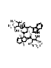 CC(O)C(NC(=O)C(Cc1c[nH]c2ccccc12)NC(=O)[C@@H]1[C@H]2CCC[C@H]2CN1C(=O)C(NC(=O)O)C(C)O)C(N)=O